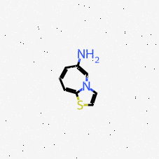 NC1=CN2C=CSC2=CC=C1